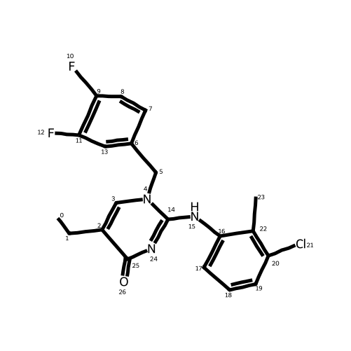 CCc1cn(Cc2ccc(F)c(F)c2)c(Nc2cccc(Cl)c2C)nc1=O